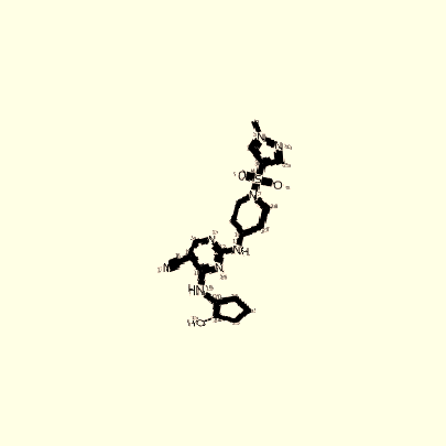 Cn1cc(S(=O)(=O)N2CCC(Nc3ncc(C#N)c(NC4CCC[C@@H]4O)n3)CC2)cn1